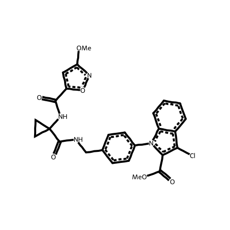 COC(=O)c1c(Cl)c2ccccc2n1-c1ccc(CNC(=O)C2(NC(=O)c3cc(OC)no3)CC2)cc1